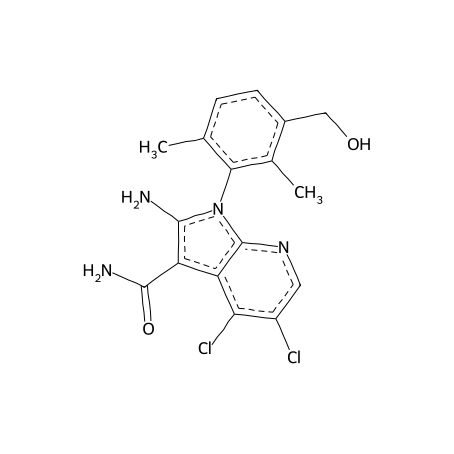 Cc1ccc(CO)c(C)c1-n1c(N)c(C(N)=O)c2c(Cl)c(Cl)cnc21